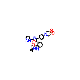 N#CC1(NC(=O)[C@@H]2CCCC[C@H]2c2oc(-c3cccnn3)nc2-c2ccc(N3CCS(=O)(=O)CC3)cc2)CC1